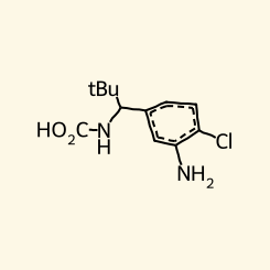 CC(C)(C)C(NC(=O)O)c1ccc(Cl)c(N)c1